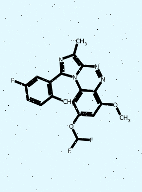 COc1cc(OC(F)F)cc2c1nnc1c(C)nc(-c3cc(F)ccc3C)n12